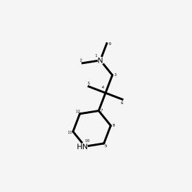 CN(C)CC(C)(C)C1CCNCC1